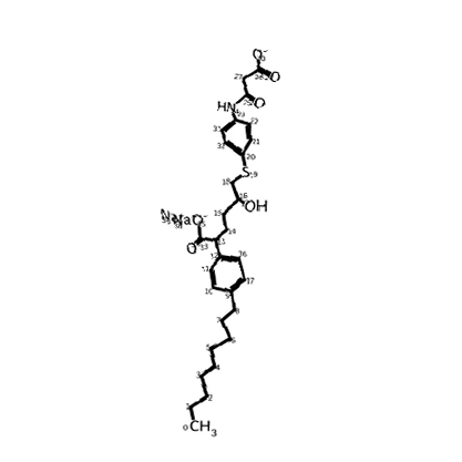 CCCCCCCCCc1ccc(C(CCC(O)CSc2ccc(NC(=O)CC(=O)[O-])cc2)C(=O)[O-])cc1.[Na+].[Na+]